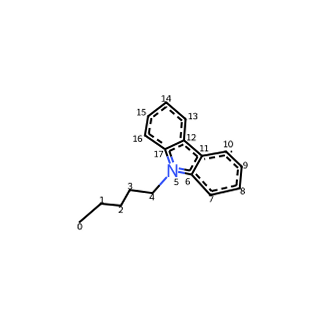 CCCCCn1c2ccc[c]c2c2ccccc21